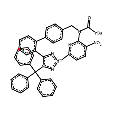 CCCCC(=O)N(Cc1ccc(-c2ccccc2-c2nnnn2C(c2ccccc2)(c2ccccc2)c2ccccc2)cc1)c1nc(Cl)ccc1[N+](=O)[O-]